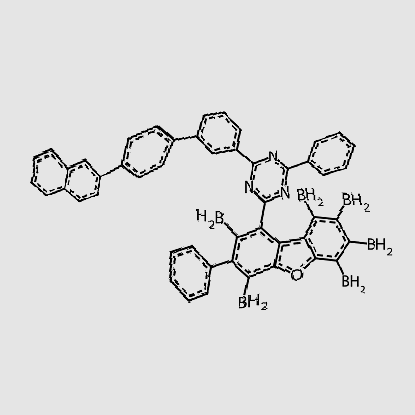 Bc1c(B)c(B)c2c(oc3c(B)c(-c4ccccc4)c(B)c(-c4nc(-c5ccccc5)nc(-c5cccc(-c6ccc(-c7ccc8ccccc8c7)cc6)c5)n4)c32)c1B